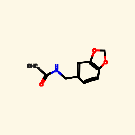 O=CC(=O)NCc1ccc2c(c1)OCO2